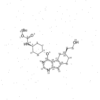 CC(C)(C)OC(=O)N[C@H]1CC[C@H](Oc2ncnc3sc4c(c23)C[C@@H](CCO)CC4)CC1